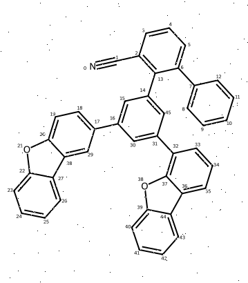 N#Cc1cccc(-c2ccccc2)c1-c1cc(-c2ccc3oc4ccccc4c3c2)cc(-c2cccc3c2oc2ccccc23)c1